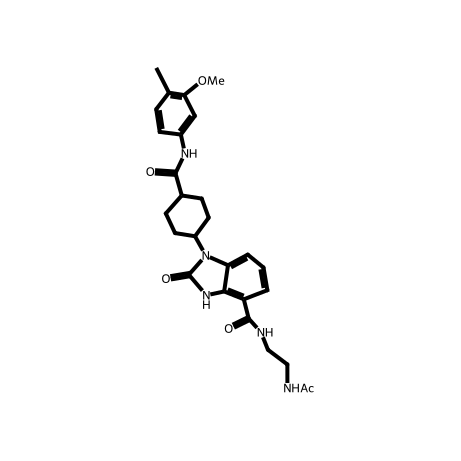 COc1cc(NC(=O)C2CCC(n3c(=O)[nH]c4c(C(=O)NCCNC(C)=O)cccc43)CC2)ccc1C